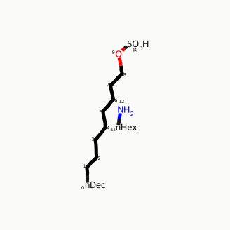 CCCCCCCCCCCCCCCCCCOS(=O)(=O)O.CCCCCCN